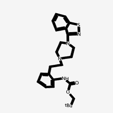 CC(C)(C)COC(=O)Nc1ccccc1CCN1CCN(c2nsc3ccccc23)CC1